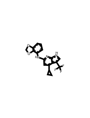 FC(F)(F)c1c[nH]c2nc(Nc3cc[c]c4c3OCO4)cc(C3CC3)c12